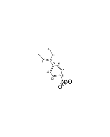 CC=C(CC)c1ccc([N+](=O)[O-])cc1